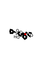 O=C1OC(CCCN2CCOCC2)(c2ccccc2)CC(O)=C1SCc1ccccc1